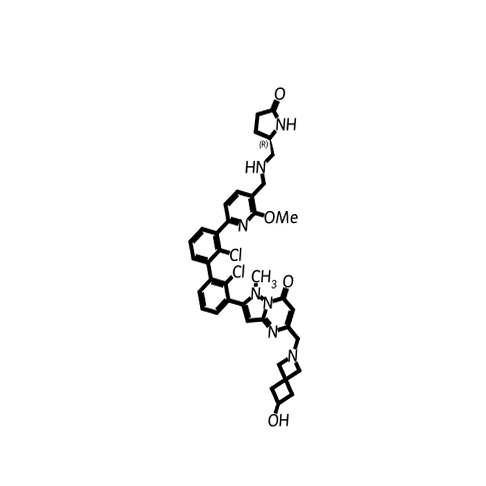 COc1nc(-c2cccc(-c3cccc(-c4cc5nc(CN6CC7(CC(O)C7)C6)cc(=O)n5n4C)c3Cl)c2Cl)ccc1CNC[C@H]1CCC(=O)N1